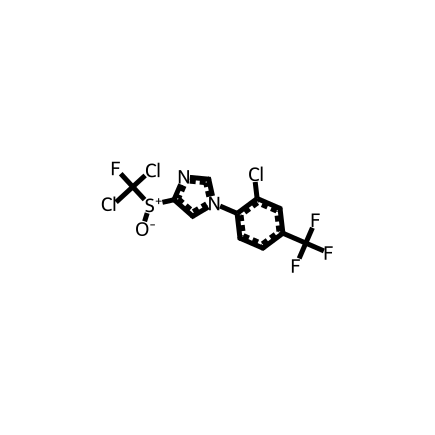 [O-][S+](c1cn(-c2ccc(C(F)(F)F)cc2Cl)cn1)C(F)(Cl)Cl